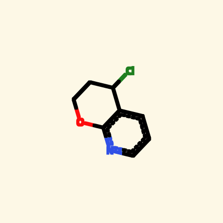 ClC1CCOc2ncccc21